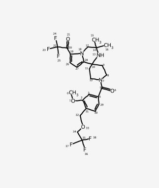 COc1cc(C(=O)N2CCC3(CC2)NC(C)(C)Cn2c(C(=O)C(F)(F)F)ccc23)ccc1COCC(F)(F)F